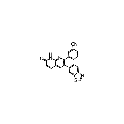 N#Cc1cccc(-c2nc3[nH]c(=O)ccc3cc2-c2ccc3ncsc3c2)c1